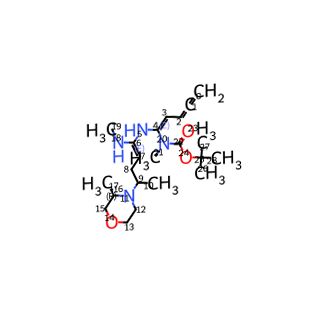 C=C=C/C=C(/N/C(=C/CC(C)N1CCOC[C@H]1C)NC)N(C)C(=O)OC(C)(C)C